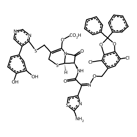 Nc1nc(/C(=N/OCc2cc(Cl)c3c(c2Cl)OC(c2ccccc2)(c2ccccc2)O3)C(=O)N[C@@H]2C(=O)N3C(OC(=O)O)=C(CSc4ncncc4-c4ccc(O)c(O)c4)CS[C@H]23)cs1